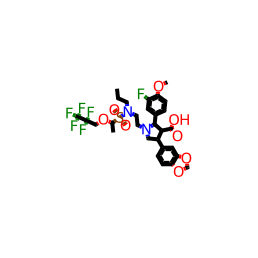 CCCN(CCN1CC(c2ccc3c(c2)OCO3)C(C(=O)O)C1c1ccc(OC)c(F)c1)S(=O)(=O)C(C)OCC(F)(F)C(F)(F)F